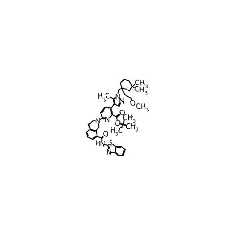 COCCC1(Cn2ncc(-c3ccc(N4CCc5cccc(C(=O)Nc6nc7ccccc7s6)c5C4)nc3C(=O)OC(C)(C)C)c2C)CCCC(C)(C)C1